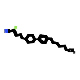 CCCCCCCc1ccc([C@H]2CC[C@H](CCC=C(F)C#N)CC2)cc1